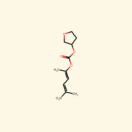 C/C(=C\C=C(/C)[N+](=O)[O-])OC(=O)OC1CCOC1